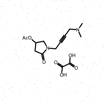 CC(=O)OC1CC(=O)N(CC#CCN(C)C)C1.O=C(O)C(=O)O